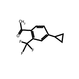 CC(=O)c1ccc(C2CC2)cc1C(F)(F)F